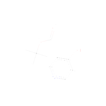 CC(C)(C)OC=O.Oc1ccncc1